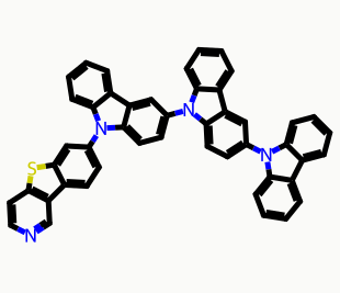 c1ccc2c(c1)c1ccccc1n2-c1ccc2c(c1)c1ccccc1n2-c1ccc2c(c1)c1ccccc1n2-c1ccc2c(c1)sc1ccncc12